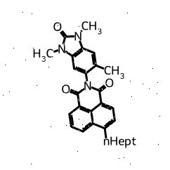 CCCCCCCc1ccc2c3c(cccc13)C(=O)N(c1cc3c(cc1C)n(C)c(=O)n3C)C2=O